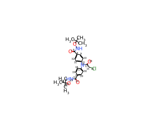 CC(C)(C)ONC(=O)c1ccc(N(C(=O)CCl)c2ccc(C(=O)NOC(C)(C)C)cc2)cc1